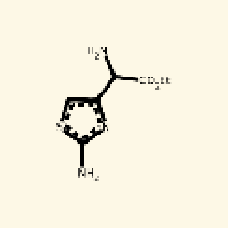 CCOC(=O)C(N)c1csc(N)n1